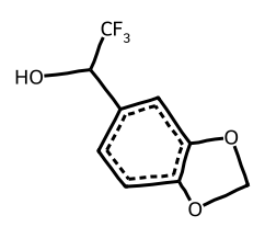 OC(c1ccc2c(c1)OCO2)C(F)(F)F